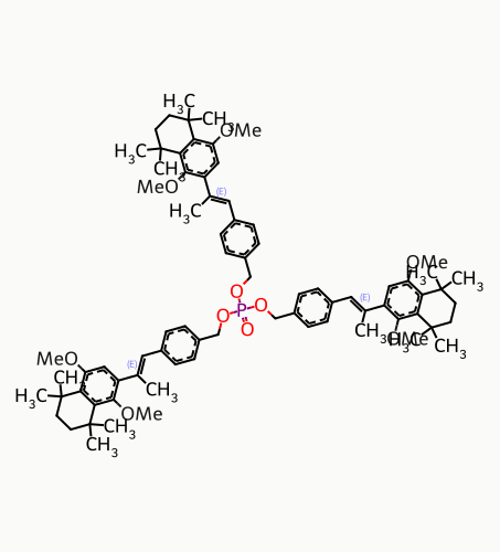 COc1cc(/C(C)=C/c2ccc(COP(=O)(OCc3ccc(/C=C(\C)c4cc(OC)c5c(c4OC)C(C)(C)CCC5(C)C)cc3)OCc3ccc(/C=C(\C)c4cc(OC)c5c(c4OC)C(C)(C)CCC5(C)C)cc3)cc2)c(OC)c2c1C(C)(C)CCC2(C)C